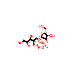 O=P(O)(O)OC1C(O)[C@@H](CO)O[C@H]1OCC(O)C(O)C(O)CO